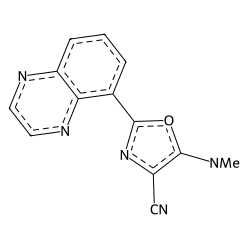 CNc1oc(-c2cccc3nccnc23)nc1C#N